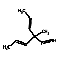 CC=CC(C)(C=CC)P=N